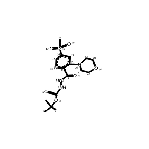 CC(C)(C)OC(=O)NNC(=O)c1ncc(S(C)(=O)=O)cc1N1CCOCC1